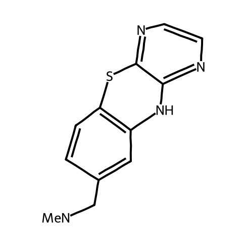 CNCc1ccc2c(c1)Nc1nccnc1S2